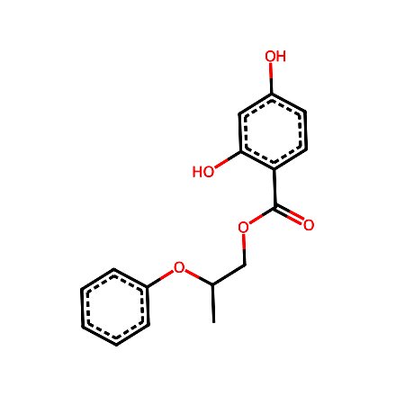 CC(COC(=O)c1ccc(O)cc1O)Oc1ccccc1